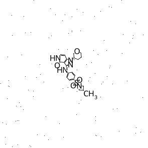 CC1CN(S(=O)(=O)c2ccc(Nc3nn([C]4CCCOC4)c4cc[nH]c(=O)c34)cc2)C1